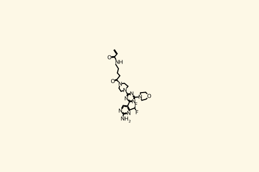 C=CC(=O)NCCCCC(=O)N1CCN(c2nc(-c3cnc(N)nc3C(F)F)nc(N3CCOCC3)n2)CC1